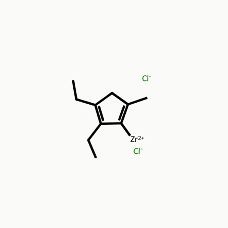 CCC1=C(CC)[C]([Zr+2])=C(C)C1.[Cl-].[Cl-]